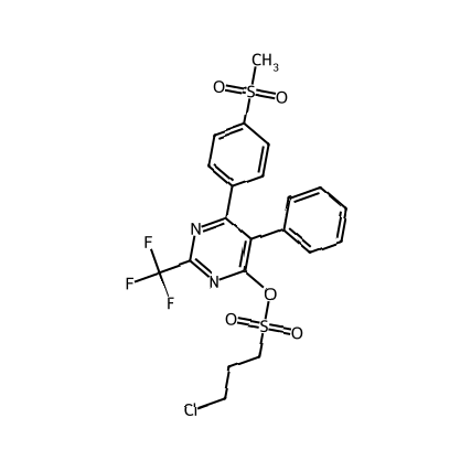 CS(=O)(=O)c1ccc(-c2nc(C(F)(F)F)nc(OS(=O)(=O)CCCCl)c2-c2ccccc2)cc1